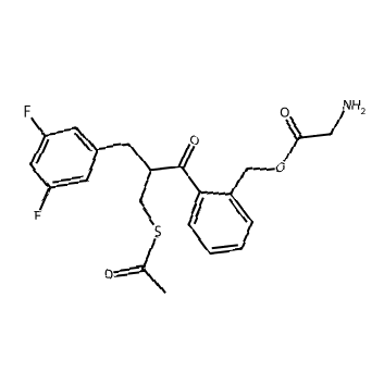 CC(=O)SCC(Cc1cc(F)cc(F)c1)C(=O)c1ccccc1COC(=O)CN